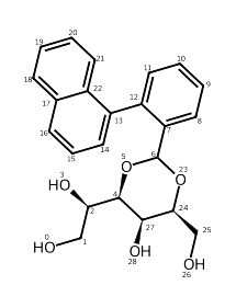 OC[C@@H](O)[C@H]1OC(c2ccccc2-c2cccc3ccccc23)O[C@@H](CO)[C@H]1O